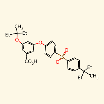 CCC(C)(CC)Oc1cc(Oc2ccc(S(=O)(=O)c3ccc(C(C)(CC)CC)cc3)cc2)cc(C(=O)O)c1